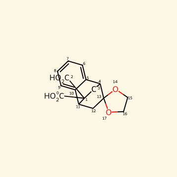 O=C(O)C1(C(=O)O)CC2c3ccccc3C1CC21OCCO1